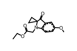 CCOC(=O)CN1c2ccc(OC)cc2C(=O)C12CC2